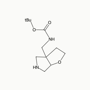 CC(C)(C)OC(=O)NCC12CCOC1CNC2